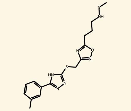 CSNCCCc1nc(CSc2nnc(-c3cccc(C)c3)[nH]2)no1